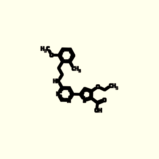 CCOc1cc(-c2cc(NCCc3c(C)cccc3OC)ncn2)sc1C(=O)O